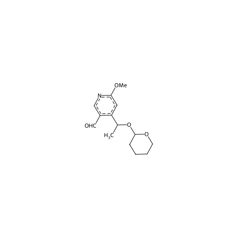 COc1cc(C(C)OC2CCCCO2)c(C=O)cn1